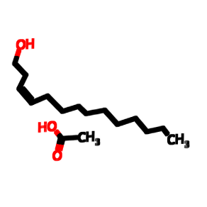 CC(=O)O.CCCCCCCCCC/C=C\CCO